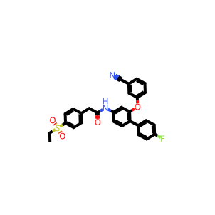 CCS(=O)(=O)c1ccc(CC(=O)Nc2ccc(-c3ccc(F)cc3)c(Oc3cccc(C#N)c3)c2)cc1